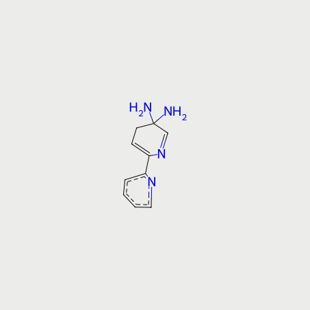 NC1(N)C=NC(c2ccccn2)=CC1